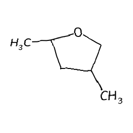 C[C]1CC(C)CO1